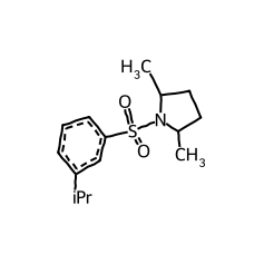 CC(C)c1cccc(S(=O)(=O)N2C(C)CCC2C)c1